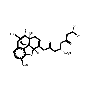 COc1ccc2c3c1O[C@H]1C(OC(=O)C[C@H](OC(=O)C[C@H](O)C(=O)O)C(=O)O)=CC[C@@]4(O)[C@@H](C2)N(C)CC[C@]314